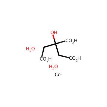 O.O.O=C(O)CC(O)(CC(=O)O)C(=O)O.[Co]